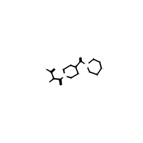 C[C](C(N)=O)C(=O)N1CCC(C(=O)N2CCCCC2)CC1